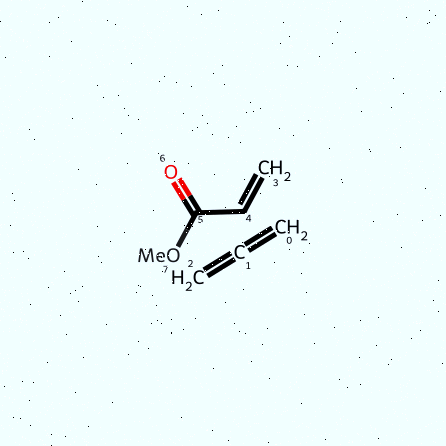 C=C=C.C=CC(=O)OC